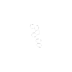 c1cnc2nc(-c3ccc4c5c3ccc3ccc6cccc-4c6c35)ccc2c1